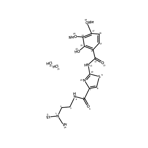 CCN(CCNC(=O)c1csc(NC(=O)c2ccc(OC)c(OC)c2O)n1)C(C)C.Cl.Cl